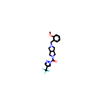 COc1ccccc1CN1CC2CN(C(=O)n3cc(C(F)(F)F)cn3)CC2C1